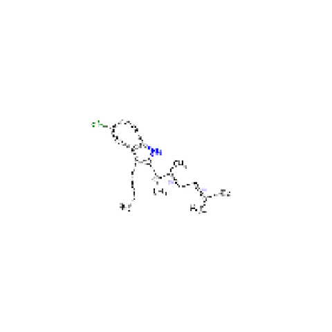 CCC(C)CCc1c([C@@H](C)/C(C)=C/C=C(\C)C(C)CC)[nH]c2ccc(Cl)cc12